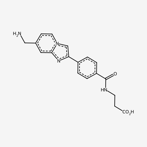 NCc1ccn2cc(-c3ccc(C(=O)NCCC(=O)O)cc3)nc2c1